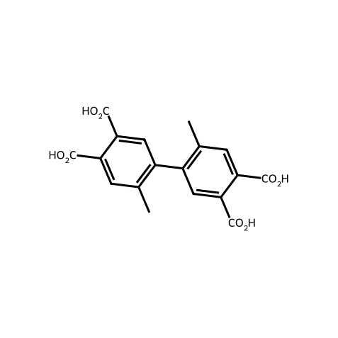 Cc1cc(C(=O)O)c(C(=O)O)cc1-c1cc(C(=O)O)c(C(=O)O)cc1C